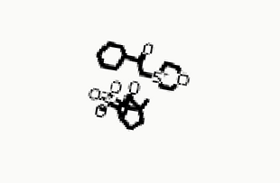 CC12CCC(C(S(=O)(=O)[O-])C1=O)C2(C)C.O=C(C[S+]1CCOCC1)C1CCCCC1